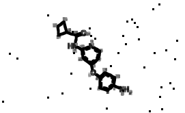 Nc1ccc(Oc2ccnc(NC(=O)C3CCC3)c2)cc1